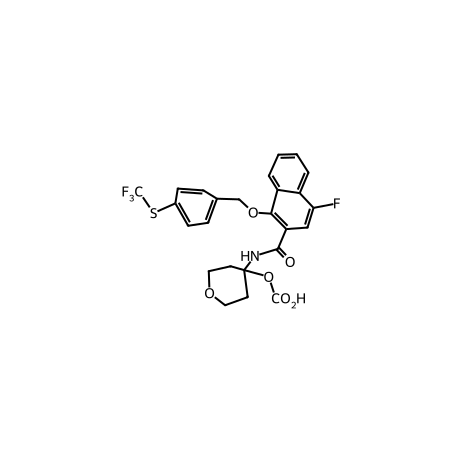 O=C(O)OC1(NC(=O)c2cc(F)c3ccccc3c2OCc2ccc(SC(F)(F)F)cc2)CCOCC1